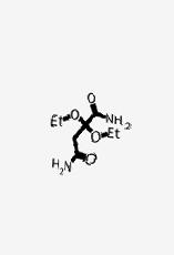 CCOC(CC(N)=O)(OCC)C(N)=O